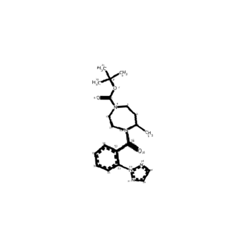 CC1CCN(C(=O)OC(C)(C)C)CCN1C(=O)c1ccccc1-n1nccn1